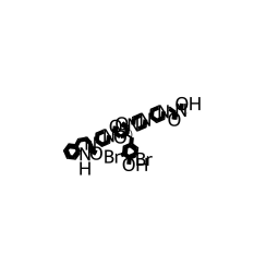 CN(O)C(=O)CN1CCC(N2CCN(C(=O)[C@@H](Cc3cc(Br)c(O)c(Br)c3)OC(=O)N3CCC(N4CCc5ccccc5NC4=O)CC3)CC2)CC1